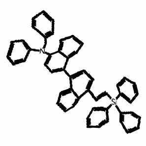 C(=C\[Si](c1ccccc1)(c1ccccc1)c1ccccc1)/c1ccc(-c2ccc(N(c3ccccc3)c3ccccc3)c3ccccc23)c2ccccc12